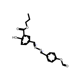 CCCOC(=O)c1cc(/C=N/N=C/c2ccc(OC=O)cc2)ccc1O